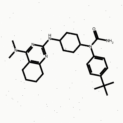 CN(C)c1nc(NC2CCC(N(C(N)=O)c3ccc(C(C)(C)C)cc3)CC2)nc2c1CCCC2